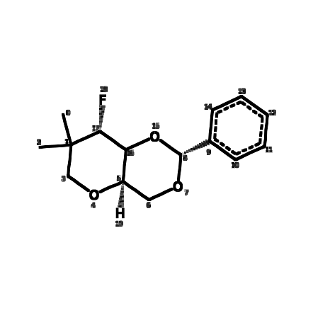 CC1(C)CO[C@@H]2CO[C@@H](c3ccccc3)OC2[C@H]1F